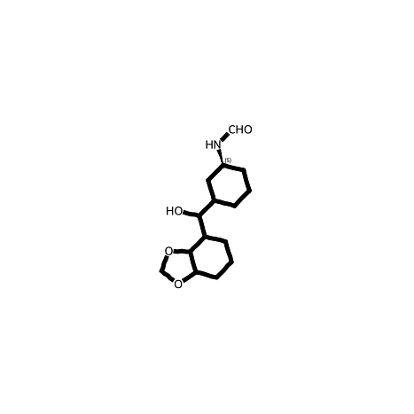 O=CN[C@H]1CCCC(C(O)C2CCCC3OCOC32)C1